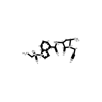 CCS(=O)(=O)n1ccc2c(C(=O)NC3CC(C)N(CC#N)C3=O)cccc21